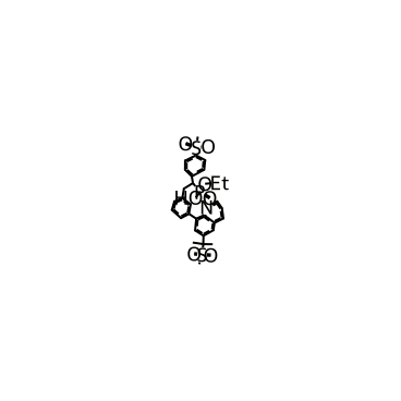 CCOP(=O)(O)C(Cc1cccc(-c2cc(C(C)(C)S(C)(=O)=O)cc3cccnc23)c1)c1ccc(S(C)(=O)=O)cc1